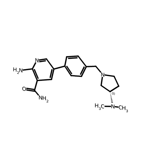 CN(C)[C@H]1CCN(Cc2ccc(-c3cnc(N)c(C(N)=O)c3)cc2)C1